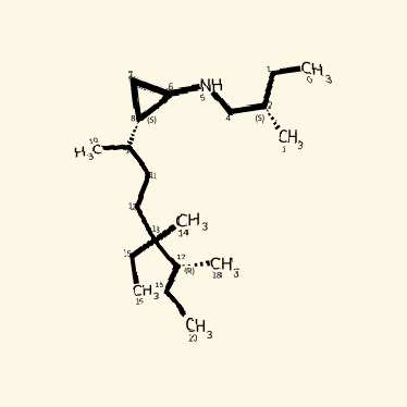 CC[C@H](C)CNC1C[C@H]1C(C)CCC(C)(CC)[C@H](C)CC